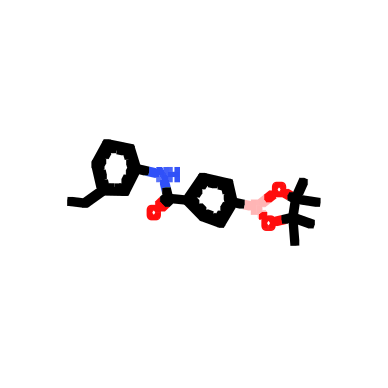 CCc1cccc(NC(=O)c2ccc(B3OC(C)(C)C(C)(C)O3)cc2)c1